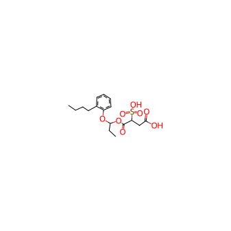 CCCCc1ccccc1OC(CC)OC(=O)C(CC(=O)O)S(=O)(=O)O